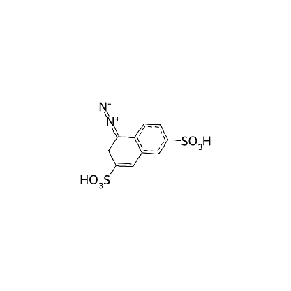 [N-]=[N+]=C1CC(S(=O)(=O)O)=Cc2cc(S(=O)(=O)O)ccc21